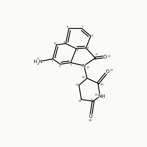 Nc1cc2c3c(cccc3c1)C(=O)N2C1CCC(=O)NC1=O